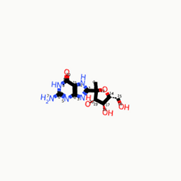 CC1(c2nc3nc(N)[nH]c(=O)c3[nH]2)O[C@H](CO)[C@@H](O)[C@@H]1O